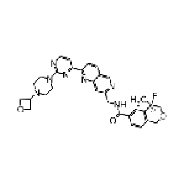 C[C@@]1(F)COCc2ccc(C(=O)NCc3cc4nc(-c5ccnc(N6CCN(C7COC7)CC6)n5)ccc4cn3)cc21